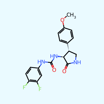 COc1ccc([C@@H]2CNC(=O)[C@H]2NC(=O)Nc2ccc(F)c(F)c2)cc1